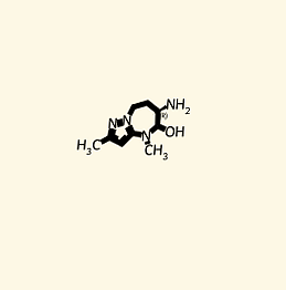 Cc1cc2n(n1)CC[C@@H](N)C(O)N2C